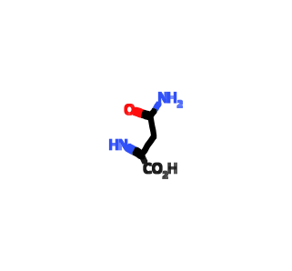 N=C(CC(N)=O)C(=O)O